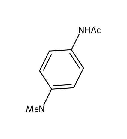 CNc1ccc(NC(C)=O)cc1